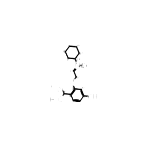 Cc1ccc(C(C)C)c(OCC=[N+]([O-])C2CCCCC2)c1